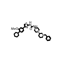 COc1cc(-c2csc(NC(=O)NN3CCN(C4CCCN(Cc5ccccc5)C4)CC3)n2)ccc1C1CCCCC1